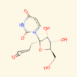 O=C=CC[C@@]1(n2ccc(=O)[nH]c2=O)O[C@H](CO)[C@@H](O)[C@H]1O